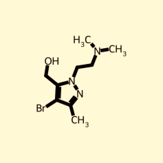 Cc1nn(CCN(C)C)c(CO)c1Br